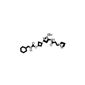 CC(C)(C)n1nc([C@H]2C[C@@H](OC(=O)NCC3CCCCC3)C2)cc1NC(=O)CCn1cccn1